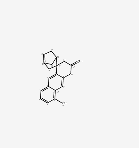 CCCCc1cccc2cc3c(cc12)CC(=O)CC31CC2=CCC1C2